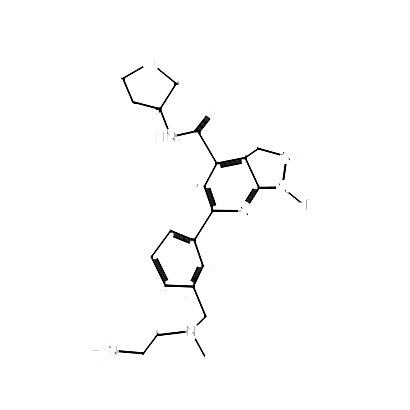 CC(C)N1NCc2c(C(=O)NC3CCOC3)cc(-c3cccc(CN(C)CCN)c3)nc21